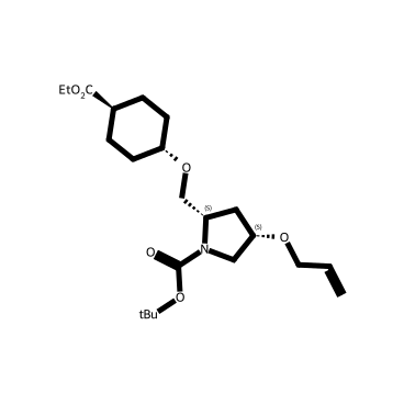 C=CCO[C@H]1C[C@@H](CO[C@H]2CC[C@H](C(=O)OCC)CC2)N(C(=O)OC(C)(C)C)C1